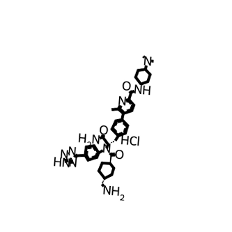 Cc1nc(C(=O)NC2CCC(N(C)C)CC2)ccc1-c1ccc(C[C@@H](C(N)=O)N(c2ccc(-c3nn[nH]n3)cc2)C(=O)[C@H]2CC[C@H](CN)CC2)cc1.Cl